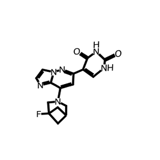 O=c1[nH]cc(-c2cc(N3CC4CC(F)(C4)C3)c3nccn3n2)c(=O)[nH]1